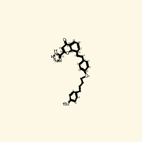 CC(C)(C)c1ccc(CCCCOc2ccc(C=Cc3cccc4c(=O)cc(-c5nnn[nH]5)oc34)cc2)cc1